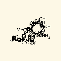 CC[C@H](C)[C@H](NC(=O)CN)C(=O)NCC(=O)N[C@H]1C[S+]([O-])c2[nH]c3c(CSC4CCN(C(=O)C5CCC(CN6C(=O)C=CC6=O)CC5)CC4)c(OC)ccc3c2C[C@@H](CO)NC(=O)[C@H]([C@@H](C)[C@@H](O)CO)NC(=O)[C@@H]2C[C@@H](O)CN2C(=O)[C@H](CC(N)=O)NC1=O